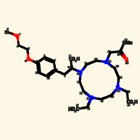 CCOCCOc1ccc(CC(C(=O)O)N2CCN(CC(=O)O)CCN(CC(=O)O)CCN(CC(=O)OC)CC2)cc1